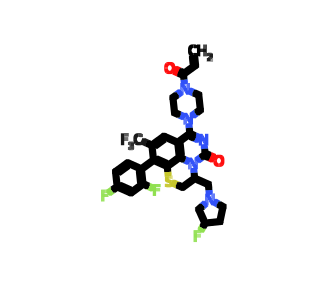 C=CC(=O)N1CCN(c2nc(=O)n3c4c(c(-c5ccc(F)cc5F)c(C(F)(F)F)cc24)SCC3CN2CCC(F)C2)CC1